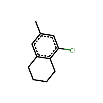 Cc1cc(Cl)c2c(c1)CCCC2